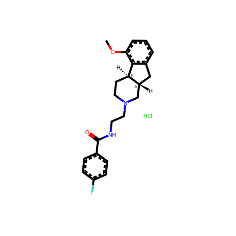 COc1cccc2c1[C@@H]1CCN(CCNC(=O)c3ccc(F)cc3)C[C@H]1C2.Cl